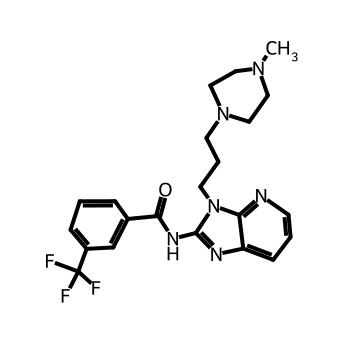 CN1CCN(CCCn2c(NC(=O)c3cccc(C(F)(F)F)c3)nc3cccnc32)CC1